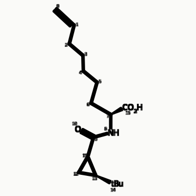 C=CCCCCC[C@H](NC(=O)C1C[C@@H]1C(C)(C)C)C(=O)O